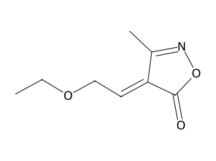 CCOCC=C1C(=O)ON=C1C